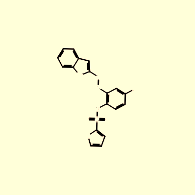 O=S(=O)(Nc1ccc(Cl)cc1NSc1cc2ccccc2o1)c1cccs1